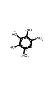 O=Nc1c([N+](=O)[O-])cc([N+](=O)[O-])c(O)c1O